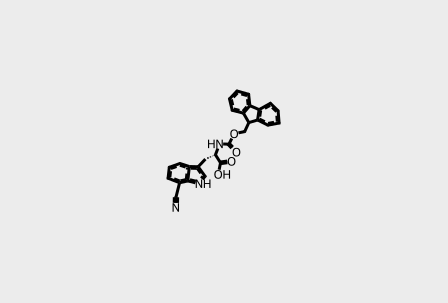 N#Cc1cccc2c(C[C@H](NC(=O)OCC3c4ccccc4-c4ccccc43)C(=O)O)c[nH]c12